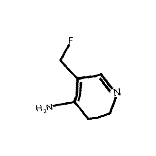 NC1=C(CF)C=NCC1